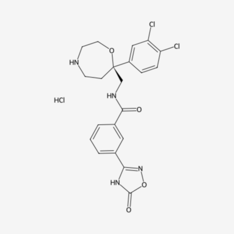 Cl.O=C(NC[C@@]1(c2ccc(Cl)c(Cl)c2)CCNCCO1)c1cccc(-c2noc(=O)[nH]2)c1